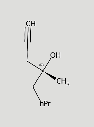 C#CC[C@](C)(O)CCCC